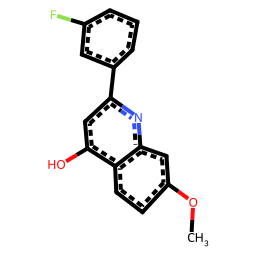 COc1ccc2c(O)cc(-c3cccc(F)c3)nc2c1